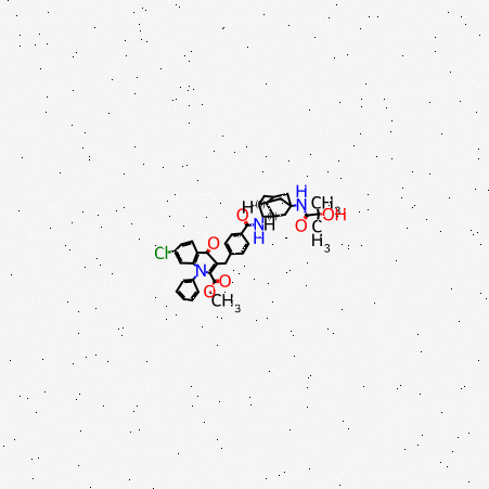 COC(=O)c1c(Cc2ccc(C(=O)NC3[C@@H]4CC5C[C@H]3CC(NC(=O)C(C)(C)O)(C5)C4)cc2)c(=O)c2ccc(Cl)cc2n1-c1ccccc1